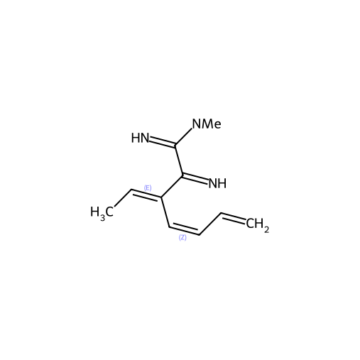 C=C/C=C\C(=C/C)C(=N)C(=N)NC